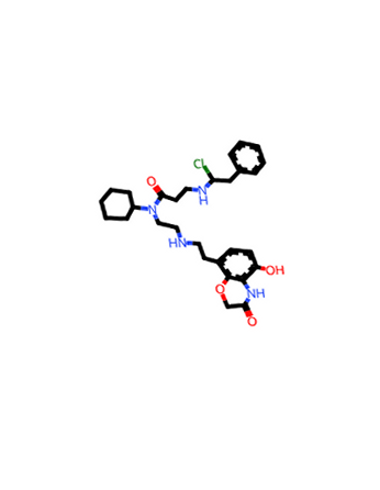 O=C1COc2c(CCNCCN(C(=O)CCNC(Cl)Cc3ccccc3)C3CCCCC3)ccc(O)c2N1